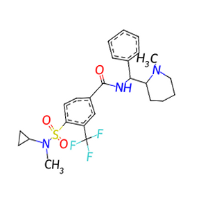 CN1CCCCC1C(NC(=O)c1ccc(S(=O)(=O)N(C)C2CC2)c(C(F)(F)F)c1)c1ccccc1